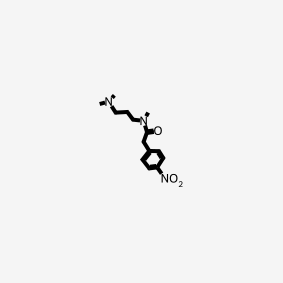 CN(C)CCCN(C)C(=O)Cc1ccc([N+](=O)[O-])cc1